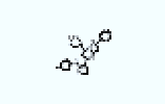 Fc1ccc(Oc2ncccc2-c2cc(N3CCOCC3)n3nc(-c4ccncc4)cc3n2)cc1